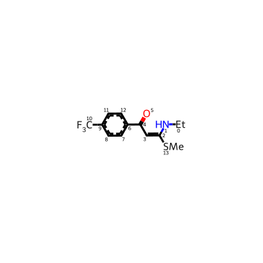 CCNC(=CC(=O)c1ccc(C(F)(F)F)cc1)SC